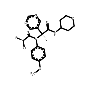 C[C@@](C(=O)NC1CCOCC1)(c1cncnc1)N(C(=O)[C@H](F)Cl)c1ccc(SC(F)(F)F)cc1